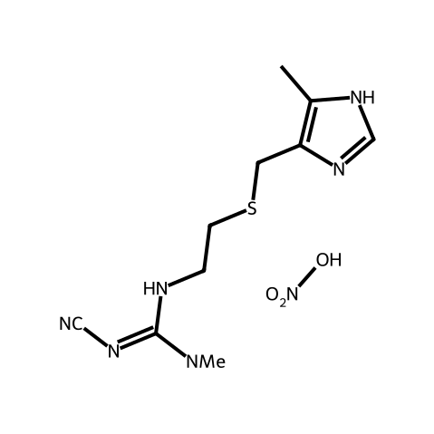 CN/C(=N/C#N)NCCSCc1nc[nH]c1C.O=[N+]([O-])O